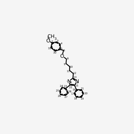 COc1ccc(COCCCCCC2=NC(c3ccccc3)=C(c3ccccc3)[N]2)cc1